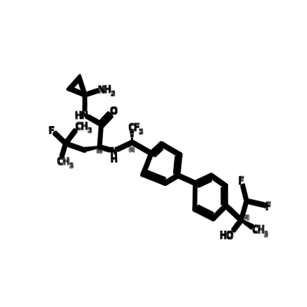 CC(C)(F)C[C@H](N[C@@H](c1ccc(-c2ccc([C@@](C)(O)C(F)F)cc2)cc1)C(F)(F)F)C(=O)NC1(N)CC1